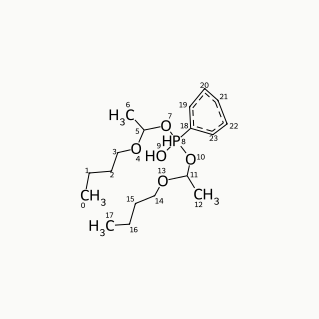 CCCCOC(C)O[PH](O)(OC(C)OCCCC)c1ccccc1